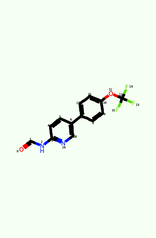 O=[C]Nc1ccc(-c2ccc(OC(F)(F)F)cc2)cn1